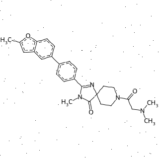 Cc1cc2cc(-c3ccc(C4=NC5(CCN(C(=O)CN(C)C)CC5)C(=O)N4C)cc3)ccc2o1